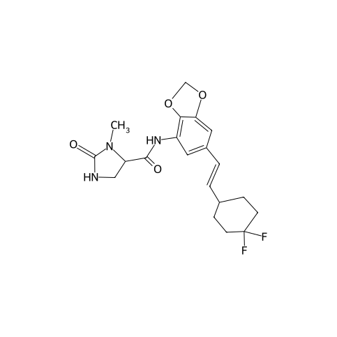 CN1C(=O)NCC1C(=O)Nc1cc(C=CC2CCC(F)(F)CC2)cc2c1OCO2